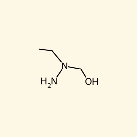 CCN(N)CO